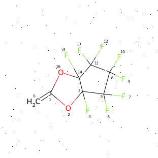 C=C1OC2(F)C(F)(F)C(F)(F)C(F)(F)C2(F)O1